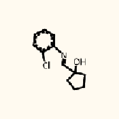 OC1(C=Nc2ccccc2Cl)CCCC1